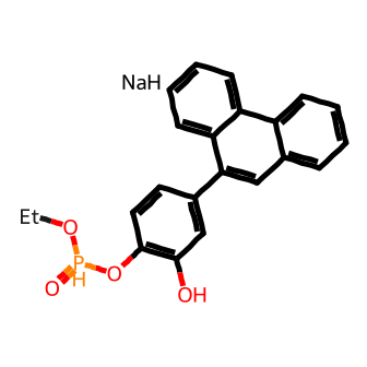 CCO[PH](=O)Oc1ccc(-c2cc3ccccc3c3ccccc23)cc1O.[NaH]